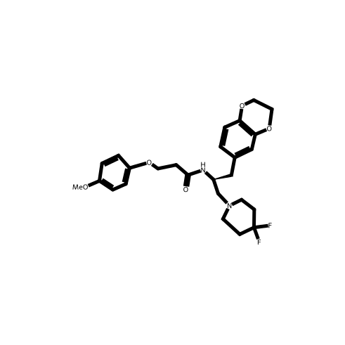 COc1ccc(OCCC(=O)N[C@@H](Cc2ccc3c(c2)OCCO3)CN2CCC(F)(F)CC2)cc1